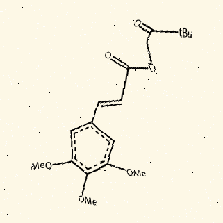 COc1cc(/C=C/C(=O)OC(=O)C(C)(C)C)cc(OC)c1OC